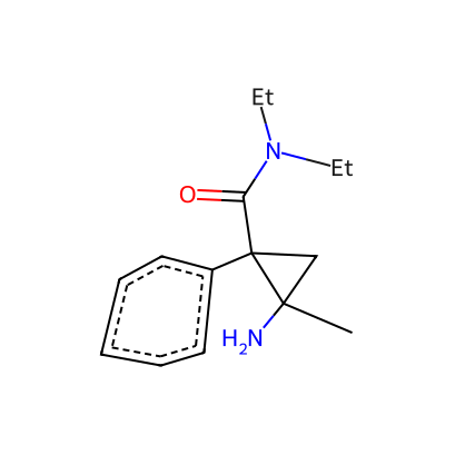 CCN(CC)C(=O)C1(c2ccccc2)CC1(C)N